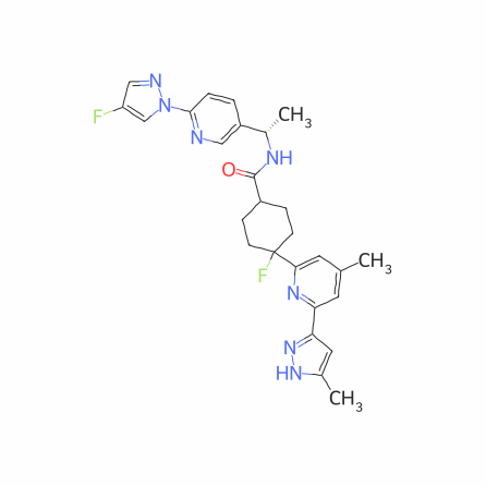 Cc1cc(-c2cc(C)[nH]n2)nc(C2(F)CCC(C(=O)N[C@@H](C)c3ccc(-n4cc(F)cn4)nc3)CC2)c1